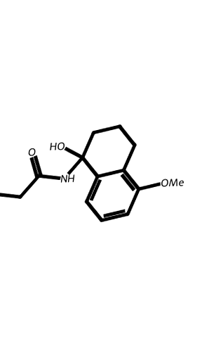 COc1cccc2c1CCCC2(O)NC(=O)CCl